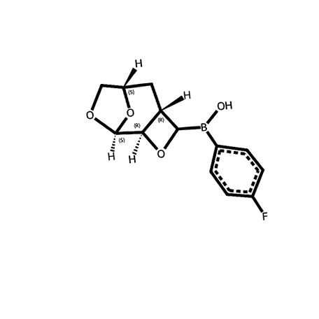 OB(c1ccc(F)cc1)C1O[C@H]2[C@H]3OC[C@H](C[C@H]12)O3